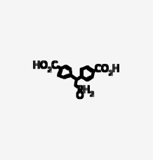 O=[PH2]CC(c1ccc(C(=O)O)cc1)c1ccc(C(=O)O)cc1